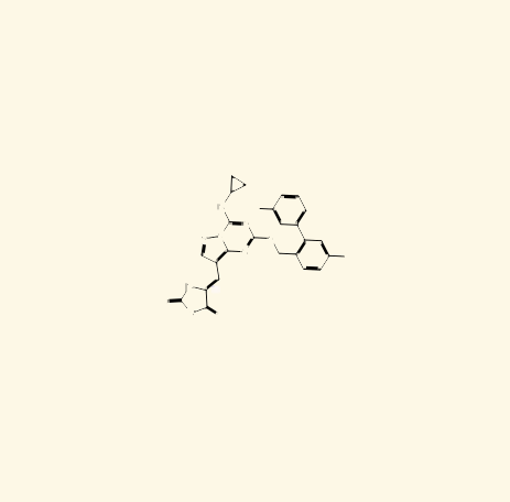 O=C1NC(=O)/C(=C/c2cnn3c(NC4CC4)nc(NCc4ccc(F)cc4-c4cccc(F)c4)nc23)N1